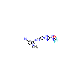 Cn1cc(CNCC2C3CN(c4ncc(-c5noc(C(F)(F)F)n5)cn4)CC23)c2cc(C#N)ccc21